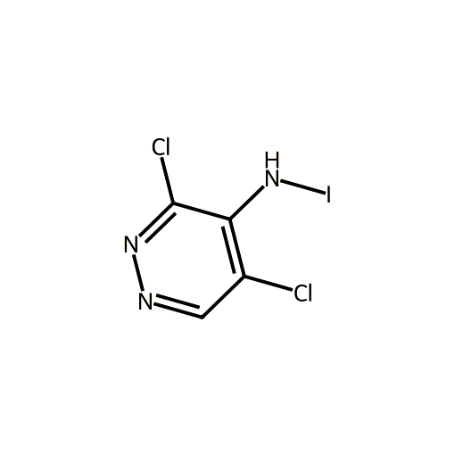 Clc1cnnc(Cl)c1NI